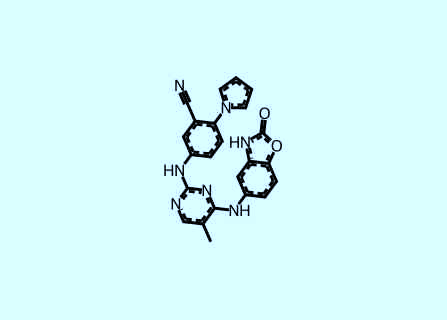 Cc1cnc(Nc2ccc(-n3cccc3)c(C#N)c2)nc1Nc1ccc2oc(=O)[nH]c2c1